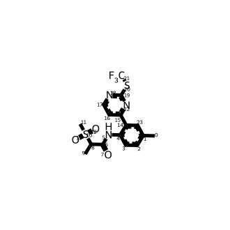 Cc1ccc(NC(=O)C(C)S(C)(=O)=O)c(-c2ccnc(SC(F)(F)F)n2)c1